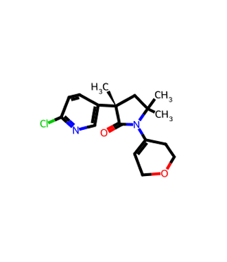 CC1(C)C[C@@](C)(c2ccc(Cl)nc2)C(=O)N1C1=CCOCC1